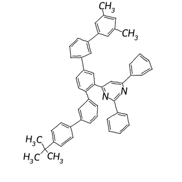 Cc1cc(C)cc(-c2cccc(-c3ccc(-c4cccc(-c5ccc(C(C)(C)C)cc5)c4)c(-c4cc(-c5ccccc5)nc(-c5ccccc5)n4)c3)c2)c1